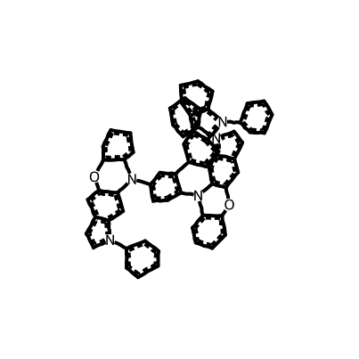 c1ccc(-n2ccc3cc4c(cc32)N(c2ccc(N3c5ccccc5Oc5cc6ccn(-c7ccccc7)c6cc53)c(-c3ccc5c(c3)c3ccccc3n5-c3ccccc3)c2)c2ccccc2O4)cc1